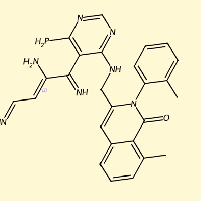 Cc1ccccc1-n1c(CNc2ncnc(P)c2C(=N)/C(N)=C/C=N)cc2cccc(C)c2c1=O